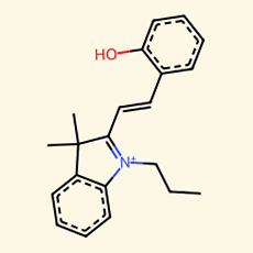 CCC[N+]1=C(C=Cc2ccccc2O)C(C)(C)c2ccccc21